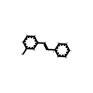 [CH2]c1cccc(C=Cc2ccccc2)c1